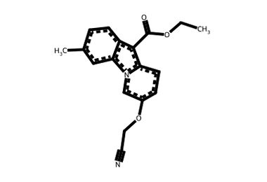 CCOC(=O)c1c2ccc(C)cc2n2cc(OCC#N)ccc12